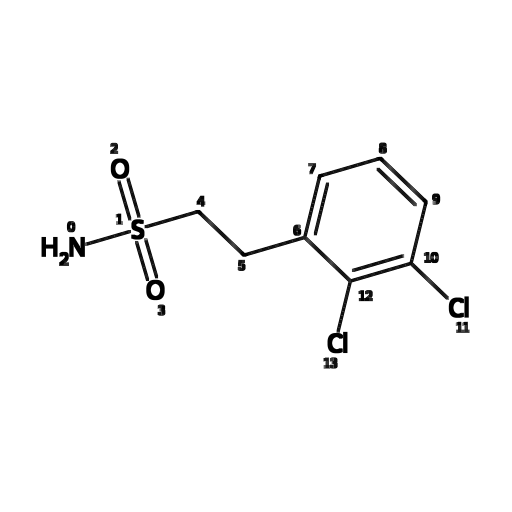 NS(=O)(=O)CCc1cccc(Cl)c1Cl